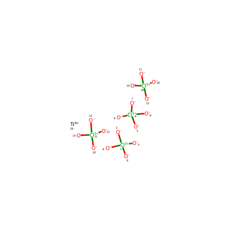 [O-][Cl+3]([O-])([O-])[O-].[O-][Cl+3]([O-])([O-])[O-].[O-][Cl+3]([O-])([O-])[O-].[O-][Cl+3]([O-])([O-])[O-].[Ti+4]